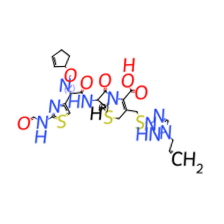 C=CCN1C=NN(SCC2=C(C(=O)O)N3C(=O)C(NC(=O)/C(=N\OC4C=CCC4)c4csc(NC=O)n4)[C@H]3SC2)N1